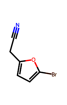 N#CCc1ccc(Br)o1